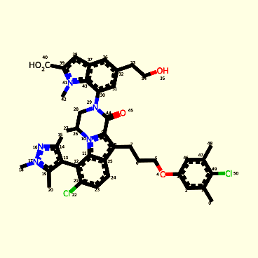 Cc1cc(OCCCc2c3n(c4c(-c5c(C)nn(C)c5C)c(Cl)ccc24)C(C)CN(c2cc(CCO)cc4cc(C(=O)O)n(C)c24)C3=O)cc(C)c1Cl